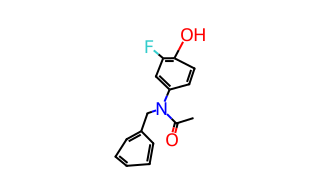 CC(=O)N(Cc1ccccc1)c1ccc(O)c(F)c1